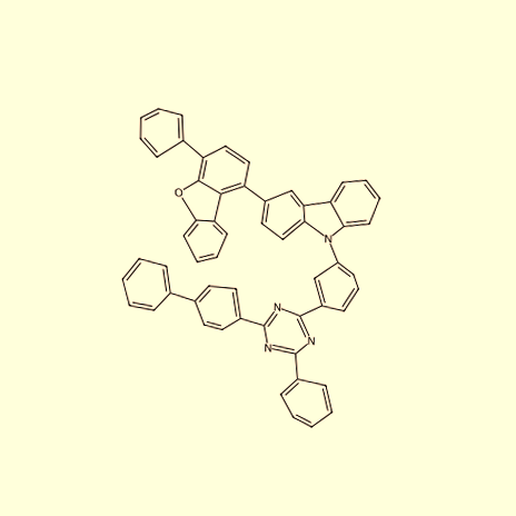 c1ccc(-c2ccc(-c3nc(-c4ccccc4)nc(-c4cccc(-n5c6ccccc6c6cc(-c7ccc(-c8ccccc8)c8oc9ccccc9c78)ccc65)c4)n3)cc2)cc1